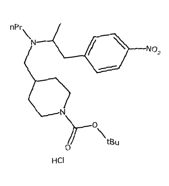 CCCN(CC1CCN(C(=O)OC(C)(C)C)CC1)C(C)Cc1ccc([N+](=O)[O-])cc1.Cl